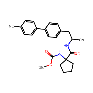 CC(C)(C)OC(=O)NC1(C(=O)NC(C#N)Cc2ccc(-c3ccc(C#N)cc3)cc2)CCCC1